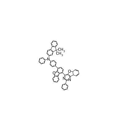 CC1(C)c2ccccc2-c2ccc(N(c3ccccc3)c3ccc(-c4ccc(-c5nc(-c6ccccc6)nc6c5OC5C=CC=CC65)c5c4oc4ccccc45)cc3)cc21